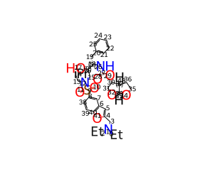 CCN(CC)Cc1cc2cc(S(=O)(=O)N(CC(C)C)C[C@@H](O)[C@H](Cc3ccccc3)NC(=O)OC3CO[C@H]4OCC[C@@H]34)ccc2o1